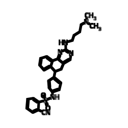 CN(C)CCCCNc1ncc2c(n1)-c1ccccc1C(c1ccc(NS(=O)(=O)c3ccccc3C#N)cc1)C2